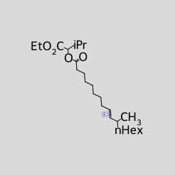 CCCCCCC(C)/C=C/CCCCCCCC(=O)OC(C(=O)OCC)C(C)C